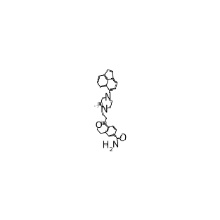 C[C@@H]1CN(c2ccc3c4c(cccc24)CC3)CCN1CC[C@@H]1OCCc2cc(C(N)=O)ccc21